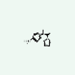 C=C(Nc1ccc([N+](=O)[O-])cc1)n1cccn1